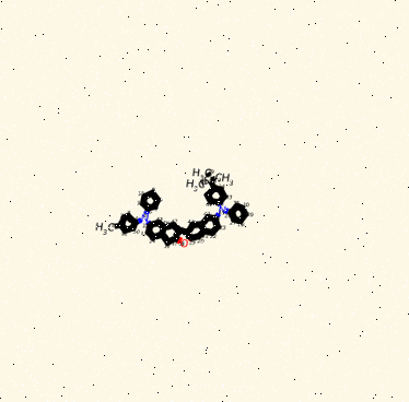 Cc1ccc(N(c2ccccc2)c2ccc3cc4oc5cc6ccc(N(c7ccccc7)c7ccc([Si](C)(C)C)cc7)cc6cc5c4cc3c2)cc1